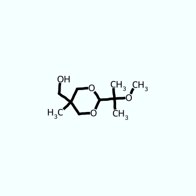 COC(C)(C)C1OCC(C)(CO)CO1